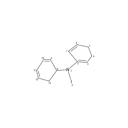 IN(C1=CCCC=C1)C1C=CC=CC1